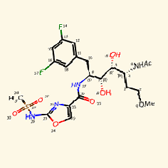 COCC[C@@H](NC(C)=O)[C@@H](O)[C@H](O)[C@H](Cc1cc(F)cc(F)c1)NC(=O)c1coc(NS(C)(=O)=O)n1